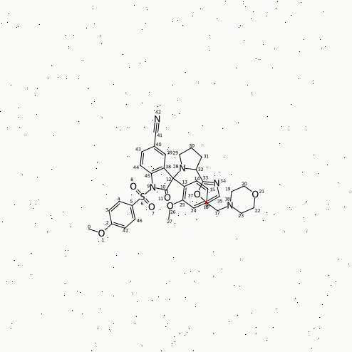 COc1ccc(S(=O)(=O)N2C(=O)C(c3ccc(CN4CCOCC4)cc3OC)(N3CCCC3c3ncco3)c3cc(C#N)ccc32)cc1